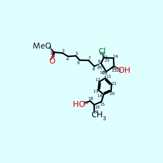 COC(=O)CCCCCC[C@@H]1[C@@H](c2ccc(CC(C)CO)cc2)[C@H](O)C[C@@H]1Cl